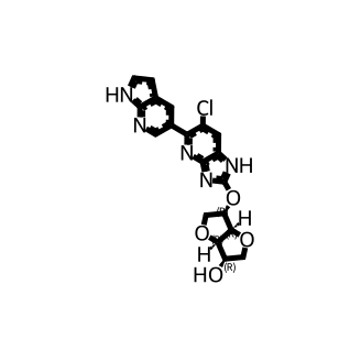 O[C@@H]1CO[C@H]2[C@@H]1OC[C@H]2Oc1nc2nc(-c3cnc4[nH]ccc4c3)c(Cl)cc2[nH]1